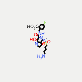 CN(c1nc(C(=O)NCc2ccc(F)cc2C(=O)O)c(O)c2ncccc12)S(=O)(=O)CCCCCN